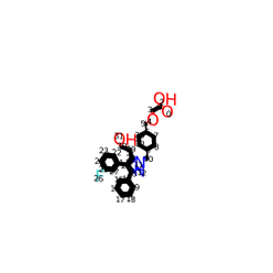 O=C(O)COC[C@H]1CC[C@@H](Cn2nc(-c3ccccc3)c(-c3cccc(F)c3)c2CCO)CC1